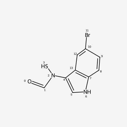 O=CN(S)c1c[nH]c2ccc(Br)cc12